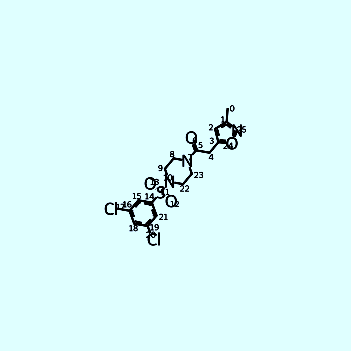 Cc1cc(CC(=O)N2CCN(S(=O)(=O)c3cc(Cl)cc(Cl)c3)CC2)on1